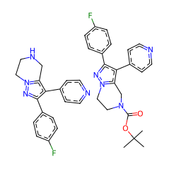 CC(C)(C)OC(=O)N1CCn2nc(-c3ccc(F)cc3)c(-c3ccncc3)c2C1.Fc1ccc(-c2nn3c(c2-c2ccncc2)CNCC3)cc1